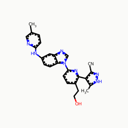 Cc1ccc(Nc2ccc3c(c2)ncn3-c2ccc(CCO)c(-c3c(C#N)n[nH]c3C)n2)nc1